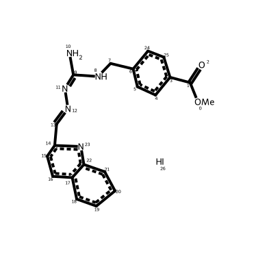 COC(=O)c1ccc(CNC(N)=NN=Cc2ccc3ccccc3n2)cc1.I